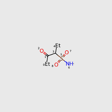 CCC(=O)C(CC)S([NH])(=O)=O